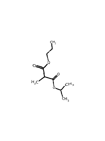 CCCOC(=O)[C](C)C(=O)OC(C)C